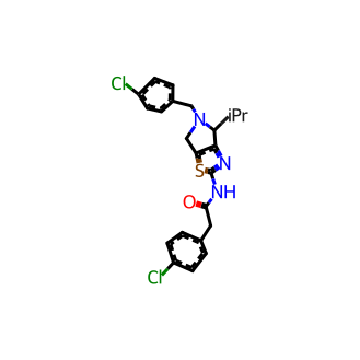 CC(C)C1c2nc(NC(=O)Cc3ccc(Cl)cc3)sc2CN1Cc1ccc(Cl)cc1